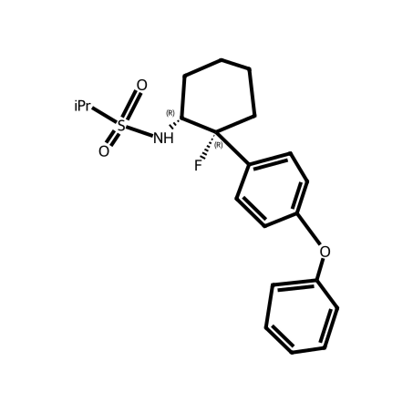 CC(C)S(=O)(=O)N[C@@H]1CCCC[C@@]1(F)c1ccc(Oc2ccccc2)cc1